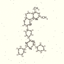 Cc1cc(C)c2ccc3ccc(-c4ccc(-c5nc(-c6ccccc6)nc(-c6ccccc6)n5)cc4)nc3c2n1